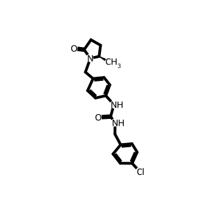 C[C@@H]1CCC(=O)N1Cc1ccc(NC(=O)NCc2ccc(Cl)cc2)cc1